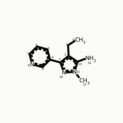 CCc1c(-c2cccnc2)nn(C)c1N